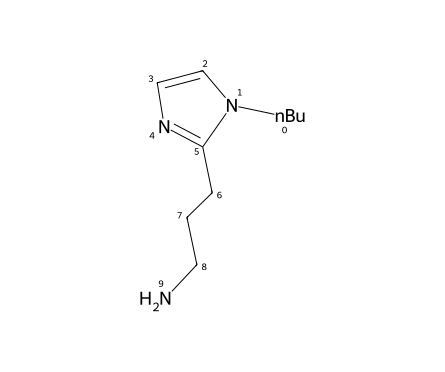 CCCCn1ccnc1CCCN